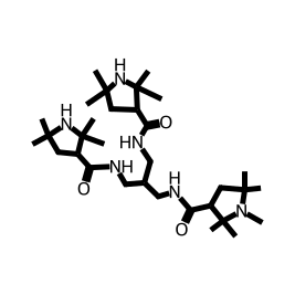 CN1C(C)(C)CC(C(=O)NCC(CNC(=O)C2CC(C)(C)NC2(C)C)CNC(=O)C2CC(C)(C)NC2(C)C)C1(C)C